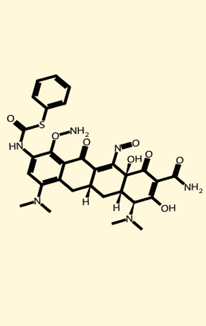 CN(C)c1cc(NC(=O)Sc2ccccc2)c(ON)c2c1C[C@H]1C[C@H]3[C@H](N(C)C)C(O)=C(C(N)=O)C(=O)[C@@]3(O)C(N=O)=C1C2=O